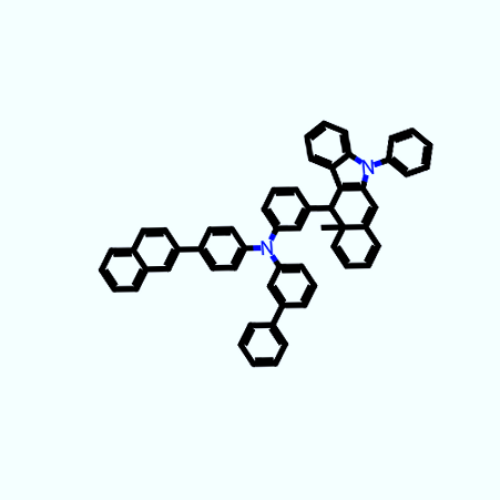 CC12C=CC=CC1=Cc1c(c3ccccc3n1-c1ccccc1)C2c1cccc(N(c2ccc(-c3ccc4ccccc4c3)cc2)c2cccc(-c3ccccc3)c2)c1